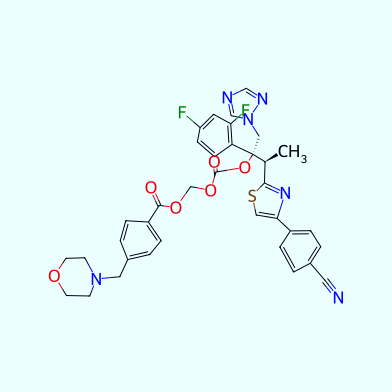 C[C@@H](c1nc(-c2ccc(C#N)cc2)cs1)[C@@](Cn1cncn1)(OC(=O)OCOC(=O)c1ccc(CN2CCOCC2)cc1)c1ccc(F)cc1F